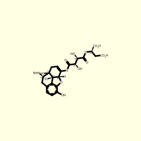 CC[C@]12c3c4ccc(O)c3O[C@H]1C(OC(=O)[C@H](O)[C@@H](O)C(=O)O[C@H](CC(=O)O)C(=O)O)=CC[C@@]2(O)[C@H](NC)C4